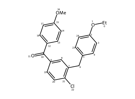 CCOc1ccc(Cc2cc(C(=O)c3ccc(OC)cc3)ccc2Cl)cc1